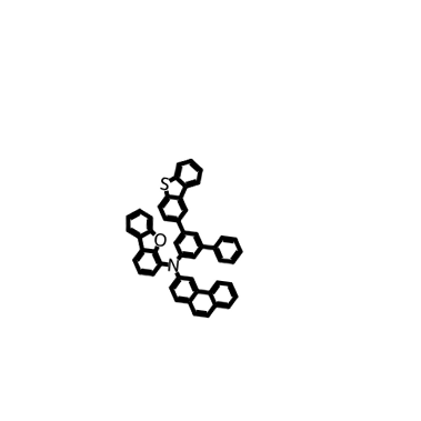 c1ccc(-c2cc(-c3ccc4sc5ccccc5c4c3)cc(N(c3ccc4ccc5ccccc5c4c3)c3cccc4c3oc3ccccc34)c2)cc1